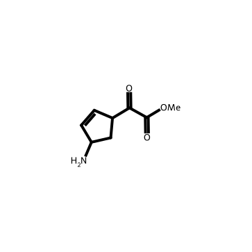 COC(=O)C(=O)C1C=CC(N)C1